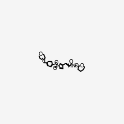 O=C(C=Cc1ccn(S(=O)(=O)c2ccc(CN3CCOCC3)cc2)c1)NOC1CCCCO1